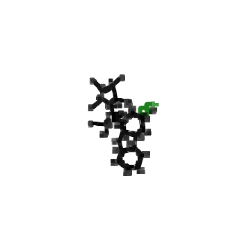 CC1=C(C)C(C)[C]([Ti+2](=[C](C)C)[c]2cccc3c2Cc2ccccc2-3)=C1C.[Cl-].[Cl-]